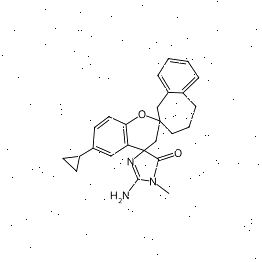 CN1C(=O)C2(CC3(CCCc4ccccc4C3)Oc3ccc(C4CC4)cc32)N=C1N